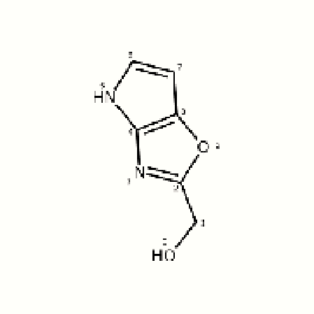 OCc1nc2[nH]ccc2o1